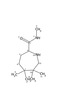 CNC(=O)C1CCC(C)(C)C(C)(C)CN1